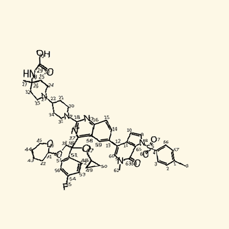 Cc1ccc(S(=O)(=O)n2ccc3c(-c4ccc5nc(N6CCC(N7CCC(C)(NC(=O)O)CC7)CC6)nc(C(COC6CCCCO6)(OC6CC6)c6ccc(F)cc6)c5c4)cn(C)c(=O)c32)cc1